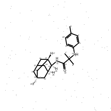 Cc1ccc(NC(C)(C)C(=O)N[C@H]2[C@@H]3CC4C[C@H]2C[C@](F)(C4)C3)cc1